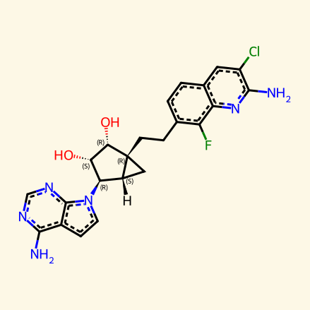 Nc1nc2c(F)c(CC[C@@]34C[C@@H]3[C@@H](n3ccc5c(N)ncnc53)[C@H](O)[C@@H]4O)ccc2cc1Cl